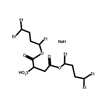 CCC(CC)CCC(CC)OC(=O)CC(C(=O)OC(CC)CCC(CC)CC)S(=O)(=O)O.[NaH]